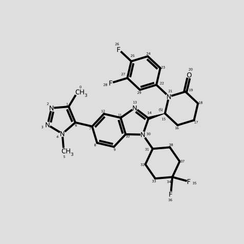 Cc1nnn(C)c1-c1ccc2c(c1)nc([C@@H]1CCCC(=O)N1c1ccc(F)c(F)c1)n2C1CCC(F)(F)CC1